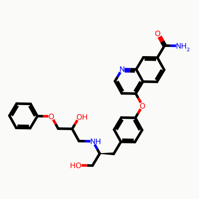 NC(=O)c1ccc2c(Oc3ccc(C[C@@H](CO)NCC(O)COc4ccccc4)cc3)ccnc2c1